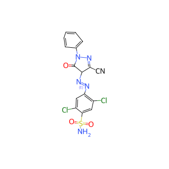 N#CC1=NN(c2ccccc2)C(=O)C1/N=N/c1cc(Cl)c(S(N)(=O)=O)cc1Cl